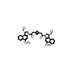 CC(=O)Oc1cc2c(c3ccccc13)[C@H](CCl)CN2C(=O)CC12CC(CC(=O)N3C[C@@H](CCl)c4c3cc(OC(C)=O)c3ccccc43)(C1)C2